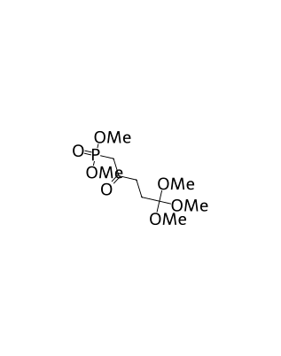 COC(CCC(=O)CP(=O)(OC)OC)(OC)OC